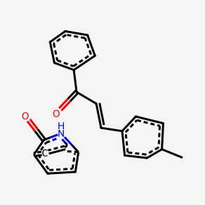 Cc1ccc(C=CC(=O)c2ccccc2)cc1.O=c1[nH]c2ccc1cc2